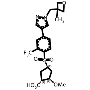 CO[C@@H]1C[C@H](S(=O)(=O)c2ccc(-c3cnn(CC4(C)COC4)c3)cc2C(F)(F)F)C[C@H]1C(=O)O